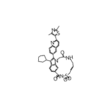 Cc1nc(C)c(-c2ccc3cc(-c4c(C5CCCCC5)c5ccc6cc5n4CC(=O)NCC/C=C/CS(=O)(=O)NC6=O)ccc3n2)s1